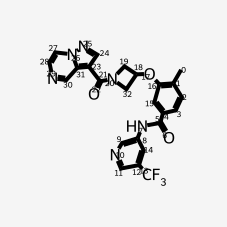 Cc1ccc(C(=O)Nc2cncc(C(F)(F)F)c2)cc1OC1CN(C(=O)c2cnn3ccncc23)C1